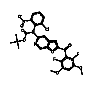 COc1cc(OC)c(F)c(C(=O)c2cc3cc(N(C(=O)OC(C)(C)C)c4c(Cl)cccc4[N+](=O)[O-])ncc3o2)c1F